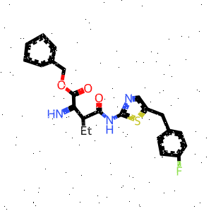 CCC(C(=N)C(=O)OCc1ccccc1)C(=O)Nc1ncc(Cc2ccc(F)cc2)s1